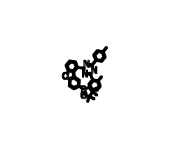 Cc1ccc(-c2nc(-c3ccccc3C)nc(-c3cccc4oc5ccc(B6OC(C)(C)C(C)(C)[C@H]6C)cc5c34)n2)cc1